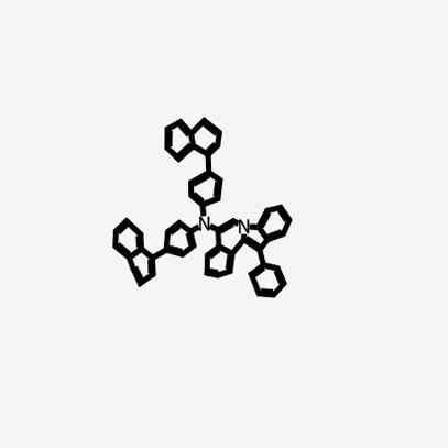 c1ccc(-c2c3ccccc3n3cc(N(c4ccc(-c5cccc6ccccc56)cc4)c4ccc(-c5cccc6ccccc56)cc4)c4ccccc4c23)cc1